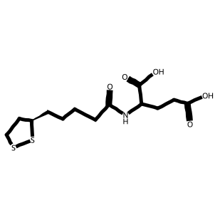 O=C(O)CCC(NC(=O)CCCC[C@@H]1CCSS1)C(=O)O